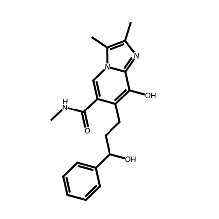 CNC(=O)c1cn2c(C)c(C)nc2c(O)c1CCC(O)c1ccccc1